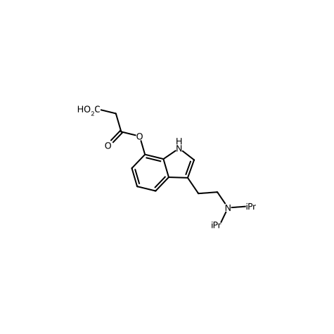 CC(C)N(CCc1c[nH]c2c(OC(=O)CC(=O)O)cccc12)C(C)C